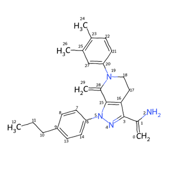 C=C(N)c1nn(-c2ccc(CCC)cc2)c2c1CCN(c1ccc(C)c(C)c1)C2=C